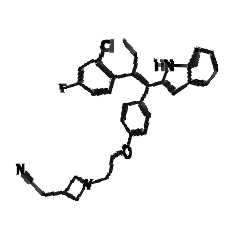 CC/C(=C(/c1ccc(OCCN2CC(CC#N)C2)cc1)c1cc2ccccc2[nH]1)c1ccc(F)cc1Cl